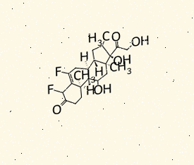 CC1C[C@H]2[C@@H]3CC(F)=C4C(F)C(=O)CC[C@]4(C)[C@H]3C(O)C[C@]2(C)[C@@]1(O)C(=O)CO